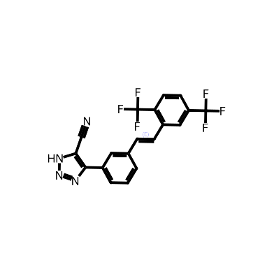 N#Cc1[nH]nnc1-c1cccc(/C=C/c2cc(C(F)(F)F)ccc2C(F)(F)F)c1